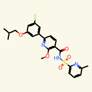 COc1nc(-c2cc(F)cc(OCC(C)C)c2)ccc1C(=O)NS(=O)(=O)c1cccc(C)n1